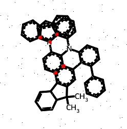 CC1(C)c2cc(-c3c(-c4ccccc4)cccc3N(c3ccccc3-n3c4ccccc4c4ccccc43)c3cccc4ccccc34)ccc2C2C=CC=CC21